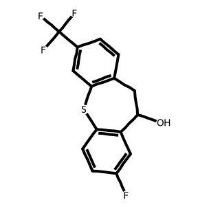 OC1Cc2ccc(C(F)(F)F)cc2Sc2ccc(F)cc21